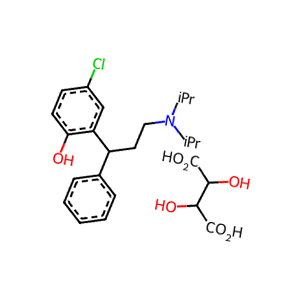 CC(C)N(CCC(c1ccccc1)c1cc(Cl)ccc1O)C(C)C.O=C(O)C(O)C(O)C(=O)O